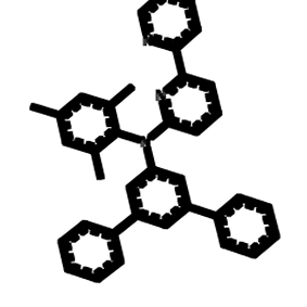 Cc1cc(C)c(N(c2cc(-c3ccccc3)cc(-c3ccccc3)c2)c2cccc(-c3ccccn3)n2)c(C)c1